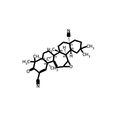 CC1(C)CC[C@]2(C#N)CC[C@]3(C)[C@H](C4OC4C=C4[C@@]5(C)C=C(C#N)C(=O)C(C)(C)C5CC[C@]43C)[C@H]2C1